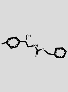 Cc1ccc([C@H](O)CNC(=O)OCc2ccccc2)cc1